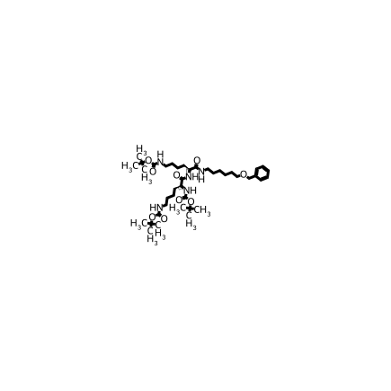 CC(C)(C)OC(=O)NCCCC[C@H](NC(=O)OC(C)(C)C)C(=O)N[C@@H](CCCCNC(=O)OC(C)(C)C)C(=O)NCCCCCCOCc1ccccc1